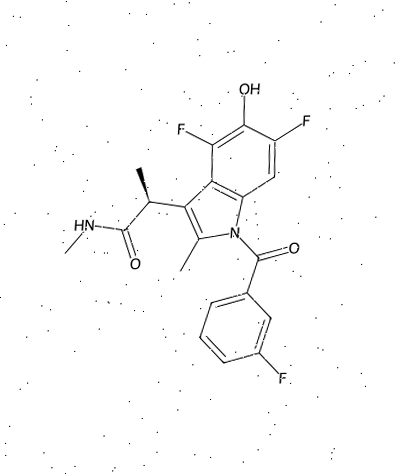 CNC(=O)[C@@H](C)c1c(C)n(C(=O)c2cccc(F)c2)c2cc(F)c(O)c(F)c12